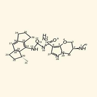 CN[C@@H]1COc2c([S@](N)(=O)=NC(=O)Nc3c4c(cc5c3[C@H](C)CC5)CCC4)cnn2C1